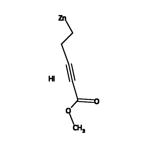 COC(=O)C#CC[CH2][Zn].I